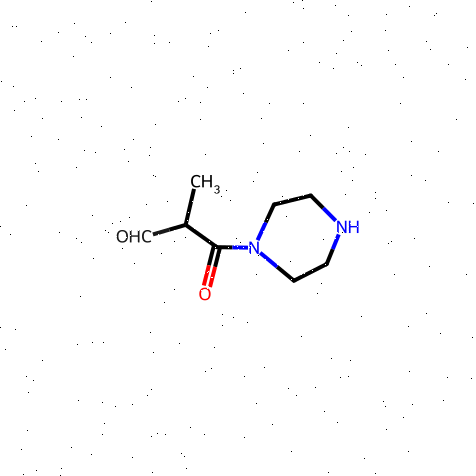 CC(C=O)C(=O)N1CCNCC1